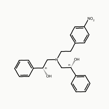 O=[N+]([O-])c1ccc(CCN(C[C@H](O)c2ccccc2)C[C@H](O)c2ccccc2)cc1